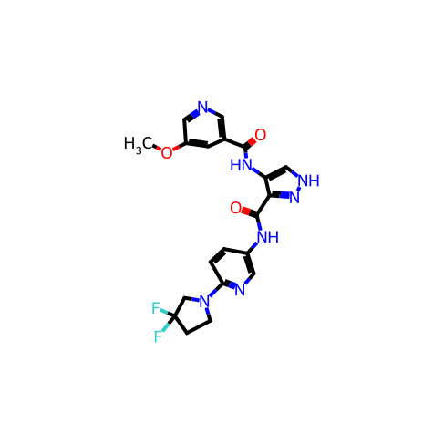 COc1cncc(C(=O)Nc2c[nH]nc2C(=O)Nc2ccc(N3CCC(F)(F)C3)nc2)c1